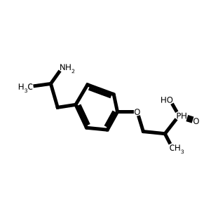 CC(N)Cc1ccc(OCC(C)[PH](=O)O)cc1